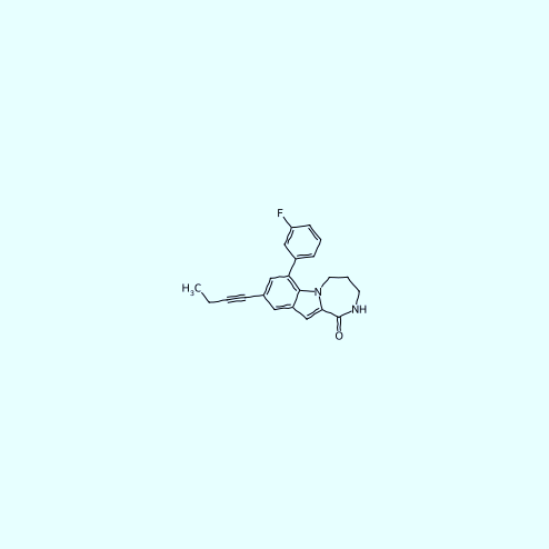 CCC#Cc1cc(-c2cccc(F)c2)c2c(c1)cc1n2CCCNC1=O